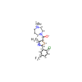 CCCCN1CCCN(C(=O)c2sc(-c3cc(C(F)(F)F)ccc3Cl)nc2C)CC1